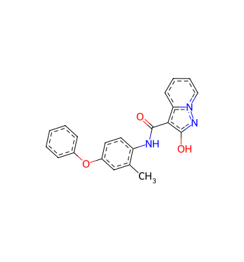 Cc1cc(Oc2ccccc2)ccc1NC(=O)c1c(O)nn2ccccc12